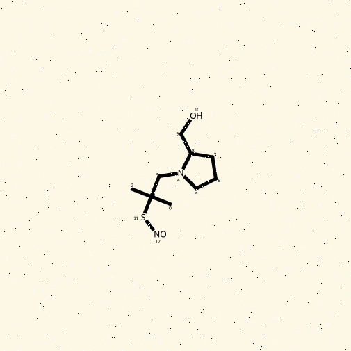 CC(C)(CN1CCCC1CO)SN=O